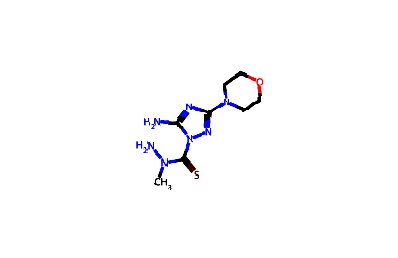 CN(N)C(=S)n1nc(N2CCOCC2)nc1N